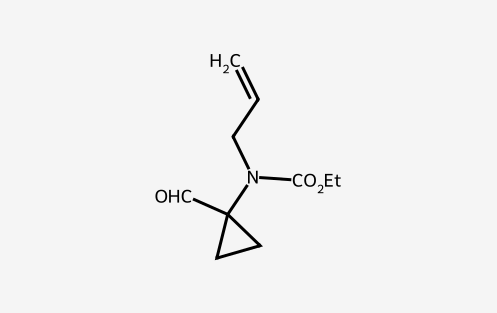 C=CCN(C(=O)OCC)C1(C=O)CC1